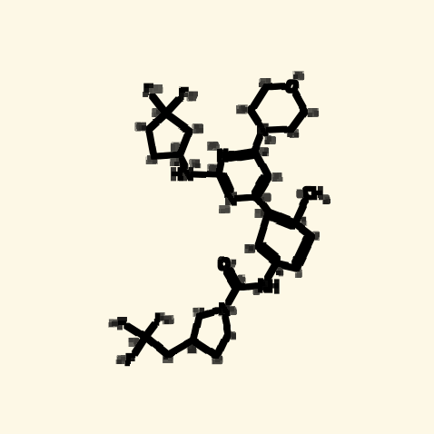 Cc1ccc(NC(=O)N2CCC(CC(F)(F)F)C2)cc1-c1cc(N2CCOCC2)nc(N[C@H]2CCC(F)(F)C2)n1